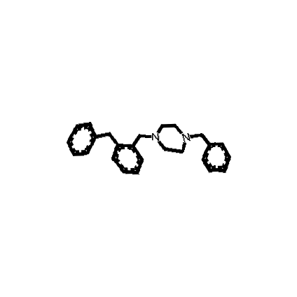 c1ccc(Cc2ccccc2CN2CCN(Cc3ccccc3)CC2)cc1